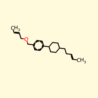 CC=CCOCc1ccc(C2CCC(CC/C=C/C)CC2)cc1